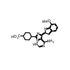 COc1cccc2c1=N/C(=c1\nc(C3CCC(C(=O)O)CC3)n3c1=C(N)N=CN3)C=2